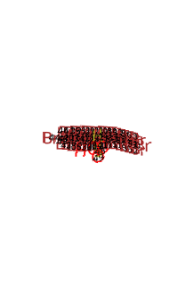 BrC(Br)(Br)C(Br)(Br)C(Br)(Br)C(Br)(Br)C(Br)(Br)C(Br)(Br)C(Br)(Br)C(Br)(Br)C(Br)(Br)C(Br)(Br)C(Br)(Br)C(Br)(Br)C(Br)(Br)C(Br)(Br)C(Br)(Br)Br.O=[SH](=O)O